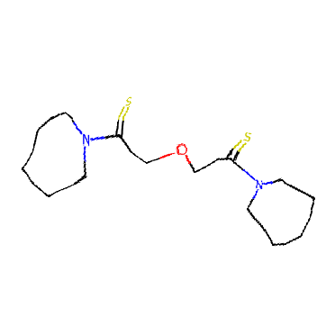 S=C(COCC(=S)N1CCCCC1)N1CCCCC1